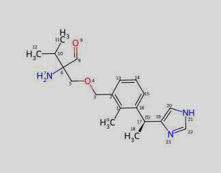 Cc1c(COCC(N)(C=O)C(C)C)cccc1[C@H](C)c1c[nH]cn1